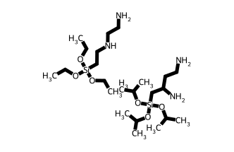 CC(C)O[Si](CC(N)CCN)(OC(C)C)OC(C)C.CCO[Si](CCNCCN)(OCC)OCC